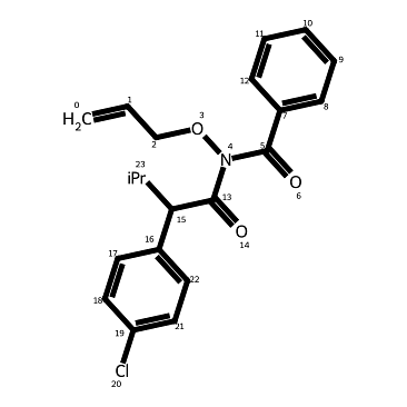 C=CCON(C(=O)c1ccccc1)C(=O)C(c1ccc(Cl)cc1)C(C)C